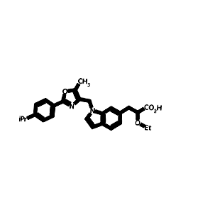 CCOC(Cc1ccc2ccn(Cc3nc(-c4ccc(C(C)C)cc4)oc3C)c2c1)C(=O)O